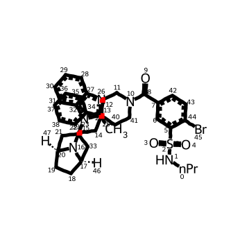 CCCNS(=O)(=O)c1cc(C(=O)N2CCC(CCN3[C@@H]4CC[C@H]3CC(n3c(C)nc5ccccc53)C4)(c3ccccc3)CC2)ccc1Br